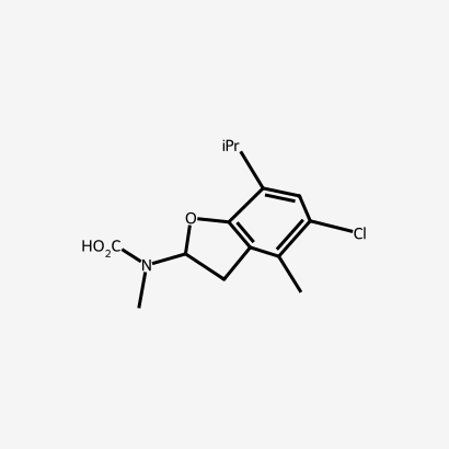 Cc1c(Cl)cc(C(C)C)c2c1CC(N(C)C(=O)O)O2